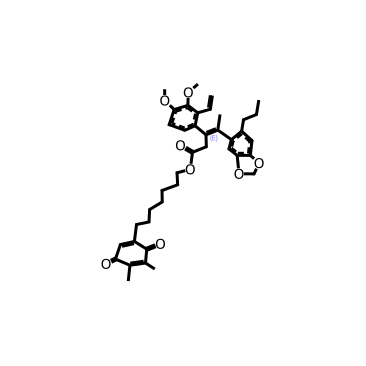 C=Cc1c(/C(CC(=O)OCCCCCCCC2=CC(=O)C(C)=C(C)C2=O)=C(\C)c2cc3c(cc2CCC)OCO3)ccc(OC)c1OC